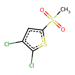 CS(=O)(=O)c1cc(Cl)c(Cl)s1